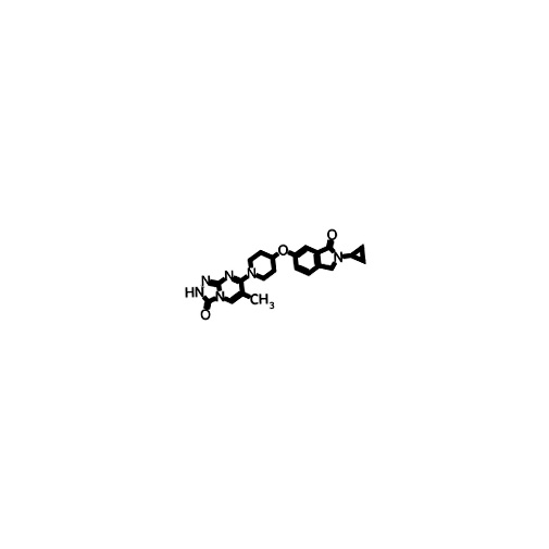 Cc1cn2c(=O)[nH]nc2nc1N1CCC(Oc2ccc3c(c2)C(=O)N(C2CC2)C3)CC1